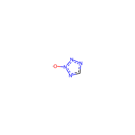 [O]n1ncnn1